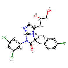 CC1(Cc2ccc(Br)cc2)C(=O)N(c2cc(Cl)cc(Cl)c2)c2ncc(CC(O)CO)n21